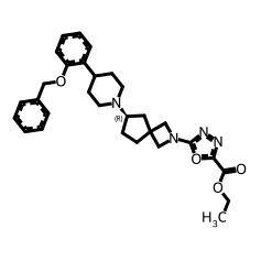 CCOC(=O)c1nnc(N2CC3(CC[C@@H](N4CCC(c5ccccc5OCc5ccccc5)CC4)C3)C2)o1